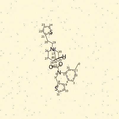 Cc1cccc(N(Cc2cccs2)C(=O)O[C@H]2C[N+]3(CCc4cccs4)CCC2CC3)c1